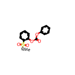 CNS(=O)(=O)c1ccccc1OC(=O)Oc1ccccc1